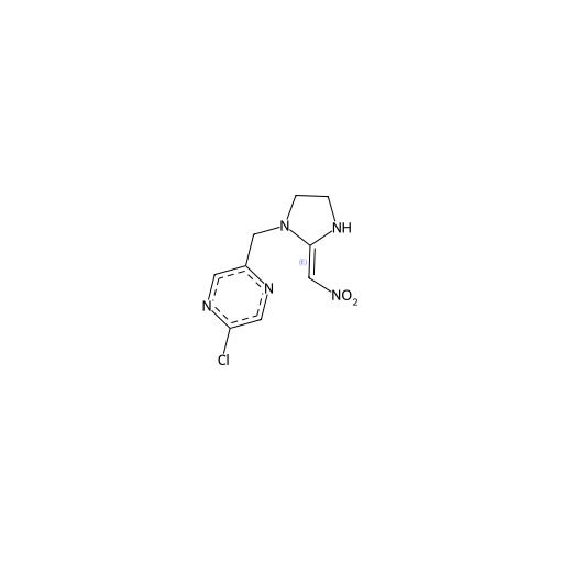 O=[N+]([O-])/C=C1\NCCN1Cc1cnc(Cl)cn1